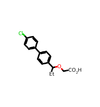 CCC(OCC(=O)O)c1ccc(-c2ccc(Cl)cc2)cc1